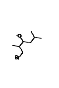 CC(C)CC([O])C(C)CBr